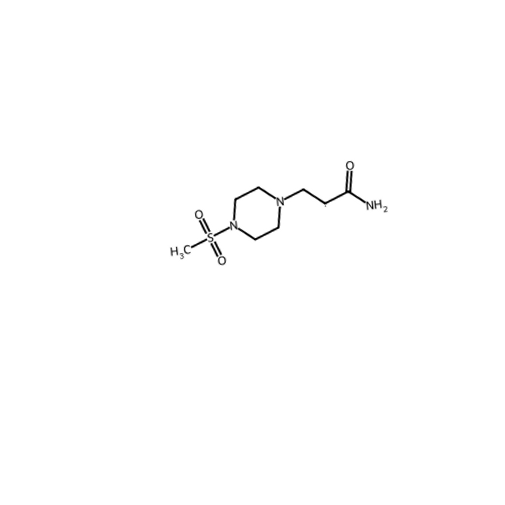 CS(=O)(=O)N1CCN(C[CH]C(N)=O)CC1